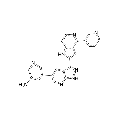 Nc1cncc(-c2cnc3[nH]nc(-c4cc5c(-c6cccnc6)nccc5[nH]4)c3c2)c1